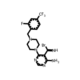 N=C(Br)c1c(N)ncnc1N1CCN(Cc2ccc(C(F)(F)F)cc2F)CC1